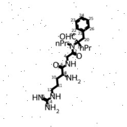 CCCN(C(=O)CNC(=O)[C@@H](N)CCCNC(=N)N)[C@@]([C]=O)(CCC)Cc1ccccc1